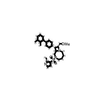 COC[C@@H]1[C@@H](c2ccc(-c3cccc(C)c3C)cc2)C2CN(S(=O)(=O)c3ccnn3C)CCCCN21